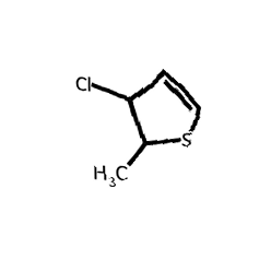 CC1SC=CC1Cl